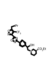 CCOC(=O)[C@H]1CCCN(CC(O)c2ccc(-c3noc(-c4noc(CC(C)C)c4C(F)(F)F)n3)cc2)C1